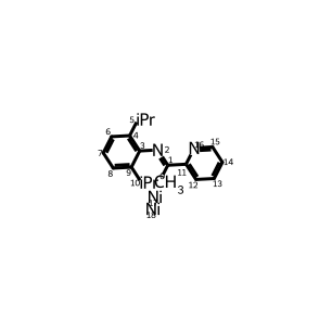 CC(=Nc1c(C(C)C)cccc1C(C)C)c1ccccn1.[Ni].[Ni]